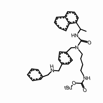 CC(NC(=O)N(CCCCNC(=O)OC(C)(C)C)Cc1ccc(CNCc2ccccc2)cc1)c1cccc2ccccc12